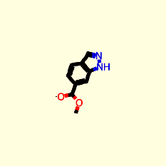 COC([O])c1ccc2cn[nH]c2c1